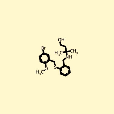 COc1ccc(Br)cc1CSc1ccccc1CNC(C)(C)CCO